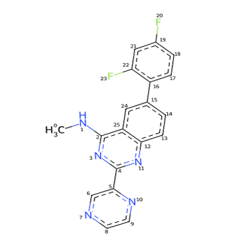 CNc1nc(-c2cnccn2)nc2ccc(-c3ccc(F)cc3F)cc12